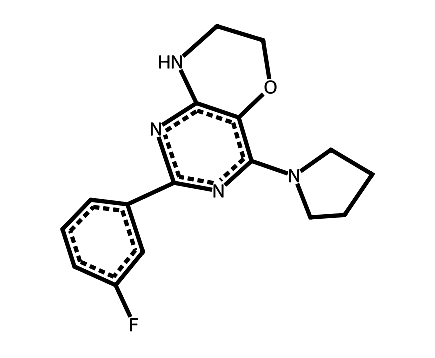 Fc1cccc(-c2nc3c(c(N4CCCC4)n2)OCCN3)c1